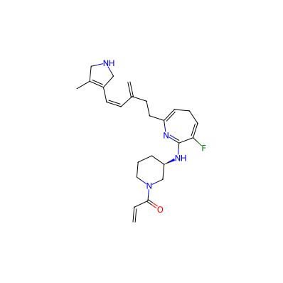 C=CC(=O)N1CCC[C@@H](NC2=NC(CCC(=C)/C=C\C3=C(C)CNC3)=CCC=C2F)C1